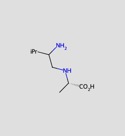 CC(C)C(N)CN[C@@H](C)C(=O)O